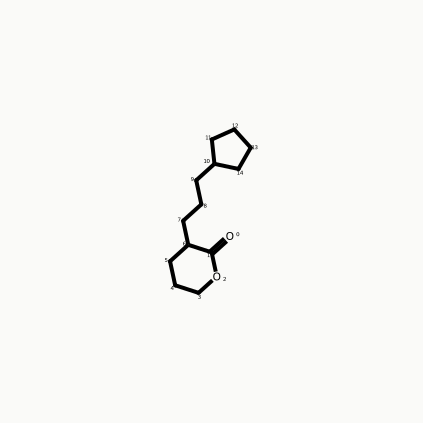 O=C1OCCCC1CCCC1CCCC1